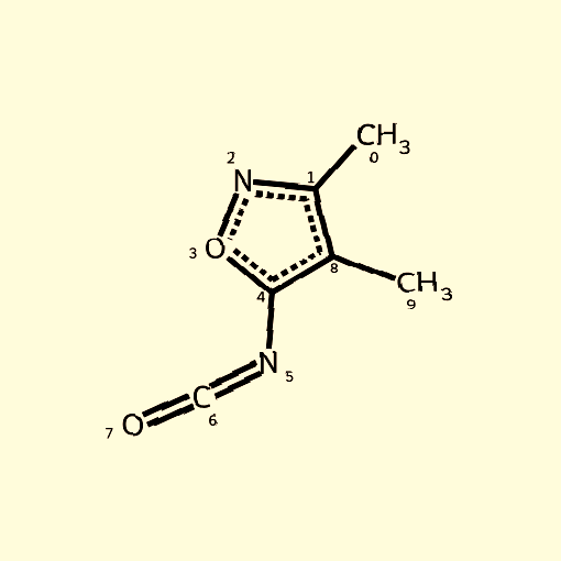 Cc1noc(N=C=O)c1C